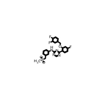 CS(=O)(=O)Cc1cccc(Nc2ncnc(-c3ccc(F)cc3OCc3ccc(F)c(F)c3)n2)c1